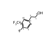 OCCc1ccc(F)c(C(F)(F)F)c1